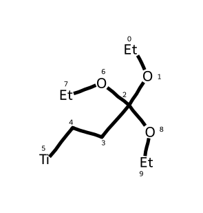 CCOC(C[CH2][Ti])(OCC)OCC